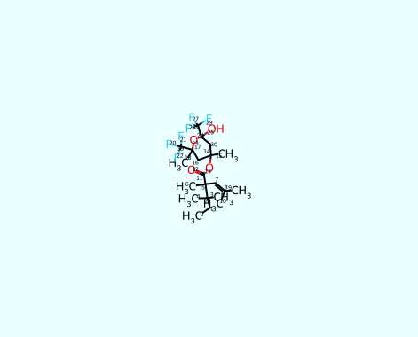 CCC(C)(C)C(C)(C=C(C)C)C(=O)OC1(C)CC(C)(C(F)(F)F)OC(O)(C(F)(F)F)C1